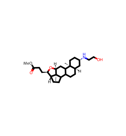 COC(=O)CC[C@H]1O[C@H]2CC3C(CC[C@@H]4C[C@@H](NCCO)CC[C@]34C)C3CC[C@H]1[C@]32C